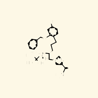 CC(C)(C)[Si](C)(C)O[C@@H](CCCc1ccc(Cl)cc1OCc1ccccc1)Cn1cnc(C(N)=O)c1